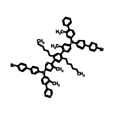 CCCCCCc1cc(-c2ccc(N(c3ccc(-c4ccc(Br)cc4)cc3)c3ccc(-c4ccccc4)c(C)c3)cc2C)c(CCCCCC)cc1-c1ccc(N(c2ccc(-c3ccc(Br)cc3)cc2)c2ccc(-c3ccccc3)c(C)c2)cc1C